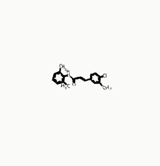 Cc1cc(C=CC(=O)Nc2c(C)cccc2C)ccc1Cl